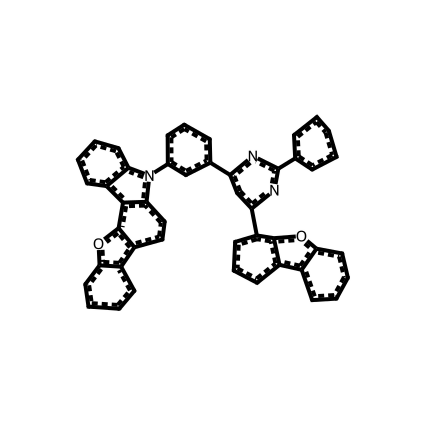 c1ccc(-c2nc(-c3cccc(-n4c5ccccc5c5c6oc7ccccc7c6ccc54)c3)cc(-c3cccc4c3oc3ccccc34)n2)cc1